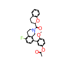 COc1ccc(OC(C)=O)cc1-c1ccc(F)c2c1CN(C(=O)C1CCc3ccccc3O1)CC2